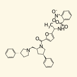 CC(NS(=O)(=O)c1ccccc1[N+](=O)[O-])c1ccc(C(=O)N2C[C@@H](c3ccccc3)C[C@H]2CN2CC[C@H](c3ccccc3)C2)o1